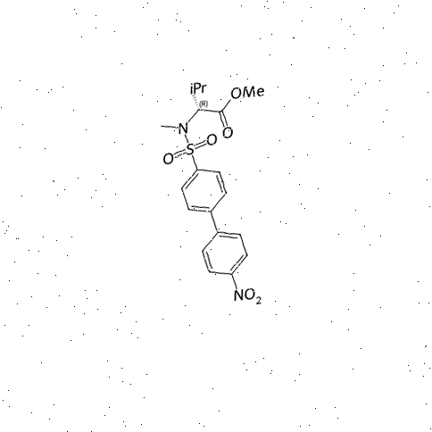 COC(=O)[C@@H](C(C)C)N(C)S(=O)(=O)c1ccc(-c2ccc([N+](=O)[O-])cc2)cc1